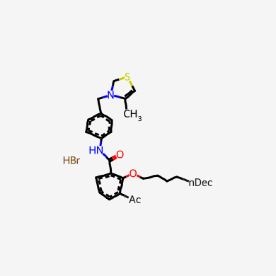 Br.CCCCCCCCCCCCCCOc1c(C(C)=O)cccc1C(=O)Nc1ccc(CN2CSC=C2C)cc1